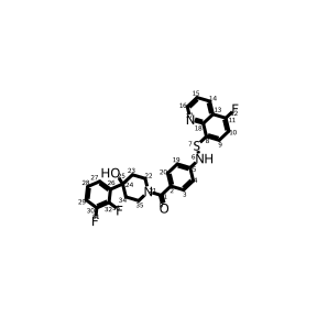 O=C(c1ccc(NSc2ccc(F)c3cccnc23)cc1)N1CCC(O)(c2cccc(F)c2F)CC1